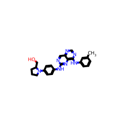 Cc1cccc(Nc2ncnc3cnc(Nc4ccc(N5CCCC5CO)cc4)nc23)c1